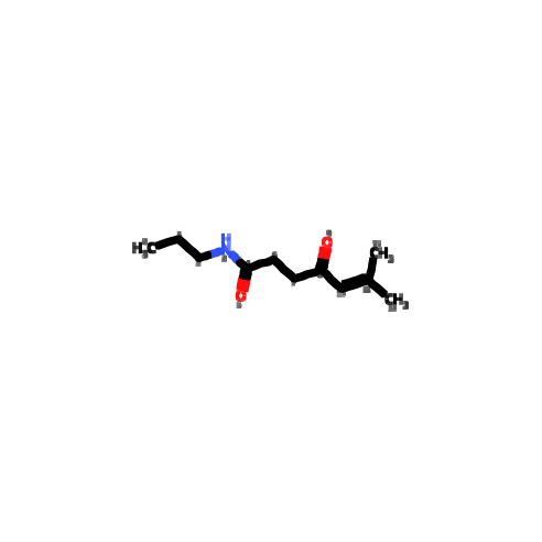 CCCNC(=O)CCC(=O)C=C(C)C